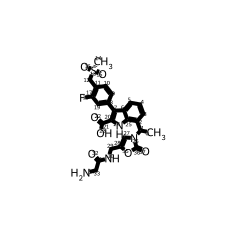 CC(c1cccc2c(-c3ccc(CS(C)(=O)=O)c(F)c3)c(C(=O)O)[nH]c12)n1cc(CNC(=O)CN)oc1=O